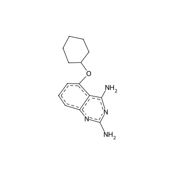 Nc1nc(N)c2c(OC3CCCCC3)cccc2n1